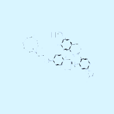 CCN(Cc1ccc(OCCN2CCCCCCC2)cc1)c1cc(OC)ccc1[C@@H]1CCc2cc(O)ccc2C1